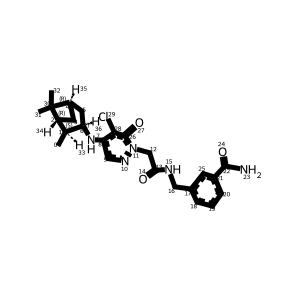 C[C@H]1[C@H]2C[C@H](C[C@H]1Nc1cnn(CC(=O)NCc3cccc(C(N)=O)c3)c(=O)c1Cl)C2(C)C